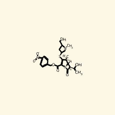 CC(O)[C@H]1C(=O)N2C(C(=O)OCc3ccc([N+](=O)[O-])cc3)=C(SC3CC(CO)N(C)C3)[C@@H](C)[C@H]12